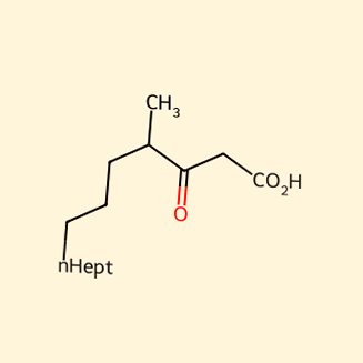 CCCCCCCCCCC(C)C(=O)CC(=O)O